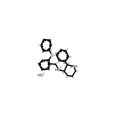 Cl.c1ccc(Oc2ccccc2CNC2CCCNC2c2ccccc2)cc1